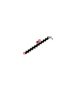 CCCCCCCCC(/C=C/CCCCCCCCCCC=O)[N+](=O)[O-]